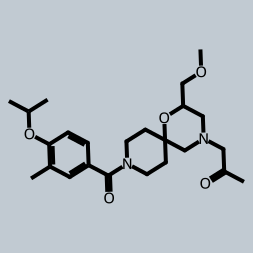 COCC1CN(CC(C)=O)CC2(CCN(C(=O)c3ccc(OC(C)C)c(C)c3)CC2)O1